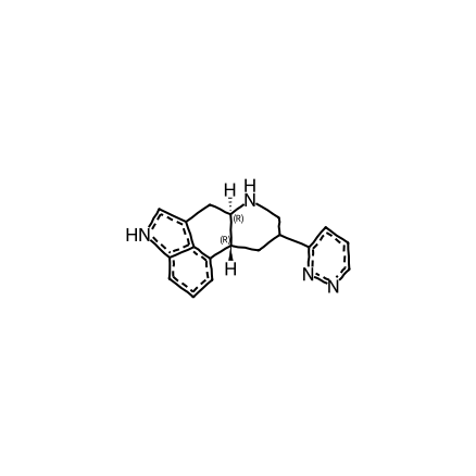 c1cnnc(C2CN[C@@H]3Cc4c[nH]c5cccc(c45)[C@H]3C2)c1